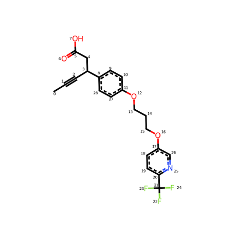 CC#CC(CC(=O)O)c1ccc(OCCCOc2ccc(C(F)(F)F)nc2)cc1